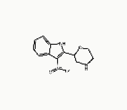 O=[N+]([O-])c1c(C2CNCCO2)[nH]c2ccccc12